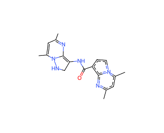 CC1=CC(C)=NC2=C(NC(=O)c3ccn4c(C)cc(C)nc34)CNN12